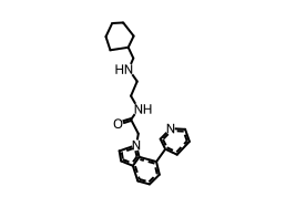 O=C(Cn1ccc2cccc(-c3cccnc3)c21)NCCNCC1CCCCC1